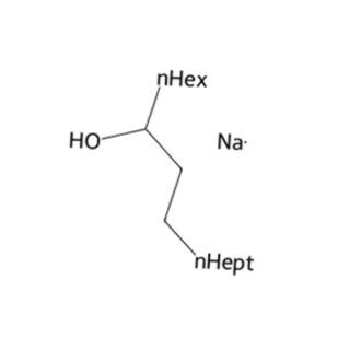 CCCCCCCCCC(O)CCCCCC.[Na]